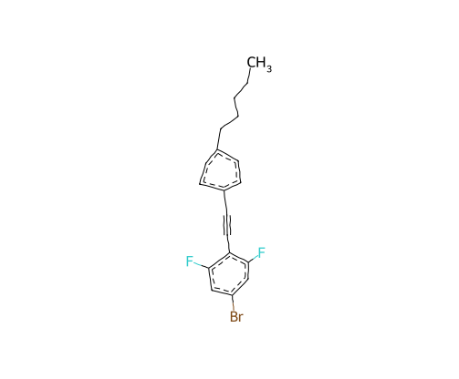 CCCCCc1ccc(C#Cc2c(F)cc(Br)cc2F)cc1